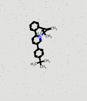 C=C1C2(C)c3ccccc3-c3ccc(-c4ccc(C(C)(C)C)cc4)c[n+]3C12C